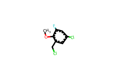 COc1c(F)cc(Cl)cc1CCl